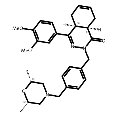 COc1ccc(C2=NN(Cc3ccc(CN4C[C@@H](C)O[C@@H](C)C4)cc3)C(=O)[C@@H]3CC=CC[C@H]23)cc1OC